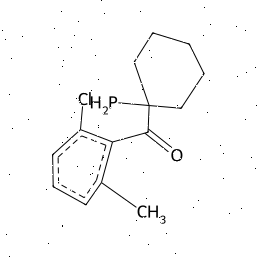 Cc1cccc(Cl)c1C(=O)C1(P)CCCCC1